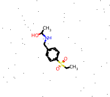 CCS(=O)(=O)c1ccc(CNC(C)O)cc1